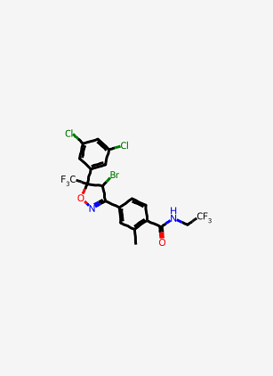 Cc1cc(C2=NOC(c3cc(Cl)cc(Cl)c3)(C(F)(F)F)C2Br)ccc1C(=O)NCC(F)(F)F